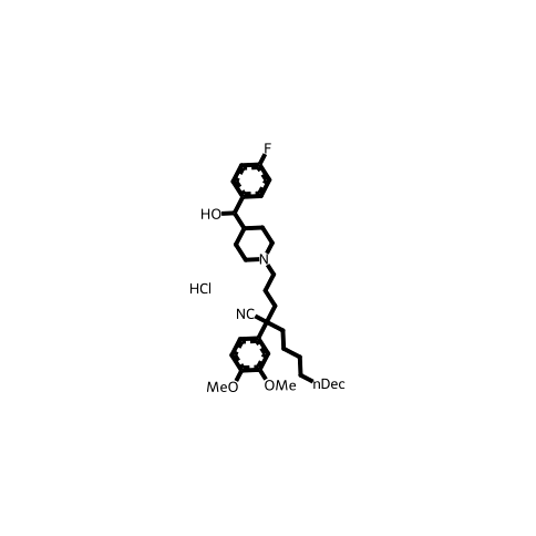 CCCCCCCCCCCCCCC(C#N)(CCCN1CCC(C(O)c2ccc(F)cc2)CC1)c1ccc(OC)c(OC)c1.Cl